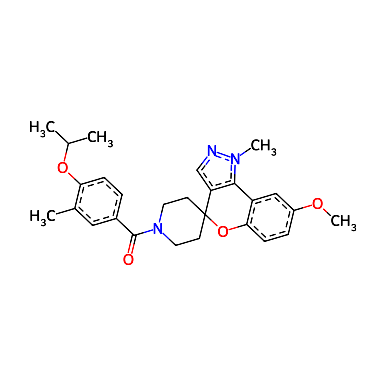 COc1ccc2c(c1)-c1c(cnn1C)C1(CCN(C(=O)c3ccc(OC(C)C)c(C)c3)CC1)O2